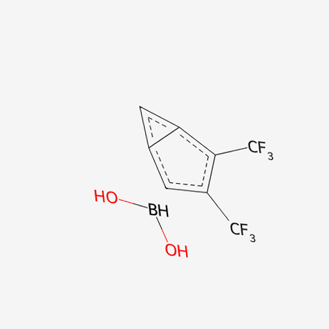 FC(F)(F)c1cc2cc-2c1C(F)(F)F.OBO